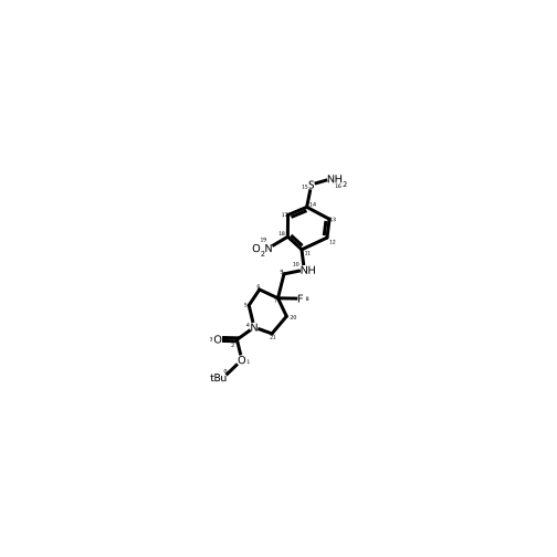 CC(C)(C)OC(=O)N1CCC(F)(CNc2ccc(SN)cc2[N+](=O)[O-])CC1